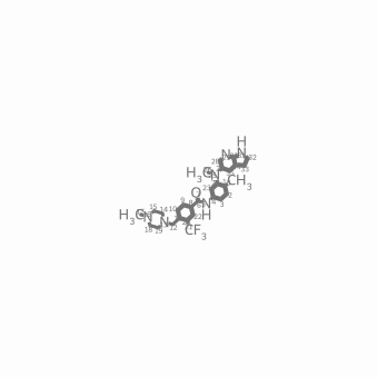 Cc1ccc(NC(=O)c2ccc(CN3CCN(C)CC3)c(C(F)(F)F)c2)cc1N(C)c1cnc2[nH]ccc2c1